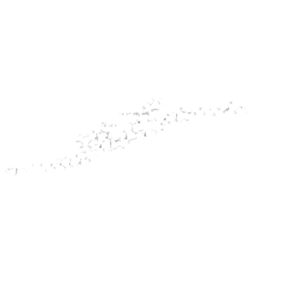 C=CC(=O)OCCCCCCOc1ccc(CC(=O)C2CCC(C(=O)Oc3ccc(-c4ccc(OC(=O)C5CCC(C(=O)Oc6ccc(OCCCCCCOC(=O)C=C)cc6)CC5)c(/C=N/N(CCCCCC)C5Nc6ccccc6S5)c4)cc3/C=N/N(CCCCCC)C3Nc4ccccc4S3)CC2)cc1